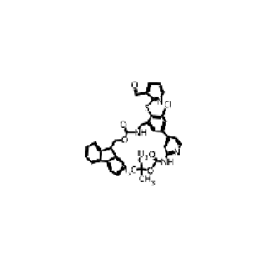 CC(C)(C)OC(=O)Nc1cc(-c2cc(Cl)c(Sc3ncccc3C=O)c(CNC(=O)OCC3c4ccccc4-c4ccccc43)c2)ccn1